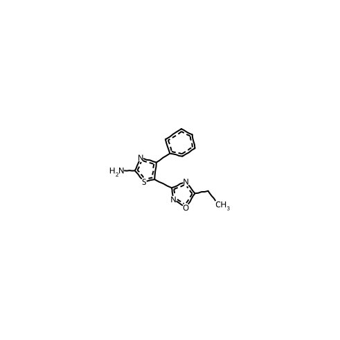 CCc1nc(-c2sc(N)nc2-c2ccccc2)no1